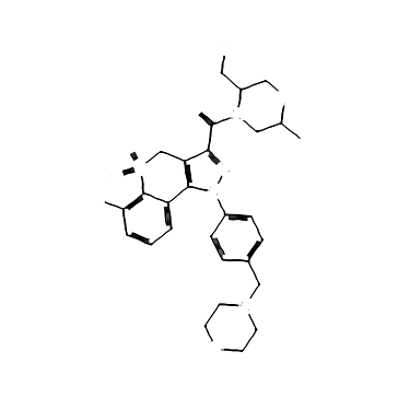 CC1CN(C(=O)c2nn(-c3ccc(CN4CCOCC4)cc3)c3c2CS(=O)(=O)c2c(F)cccc2-3)C(CO)CO1